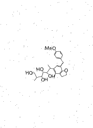 COc1ccc(Cc2cc(C(C)C(O)C(O)C(O)C(C)CO)c(C)c3c2OCC3)cc1